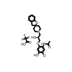 CC(=O)Nc1cc(Cl)c(O)cc1OC[C@@H](O)CN1CCC2(CC1)Cc1ccccc1O2.O=C(O)C(F)(F)F